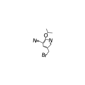 CC(C)Oc1ncc(CBr)cc1C#N